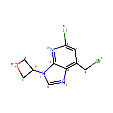 Clc1cc(CBr)c2ncn(C3COC3)c2n1